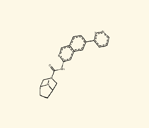 CN1C2CCC1CN(C(=O)Nc1cc3cc(-c4cccnn4)ccc3cn1)C2